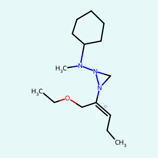 CC/C=C(\COCC)N1CN1N(C)C1CCCCC1